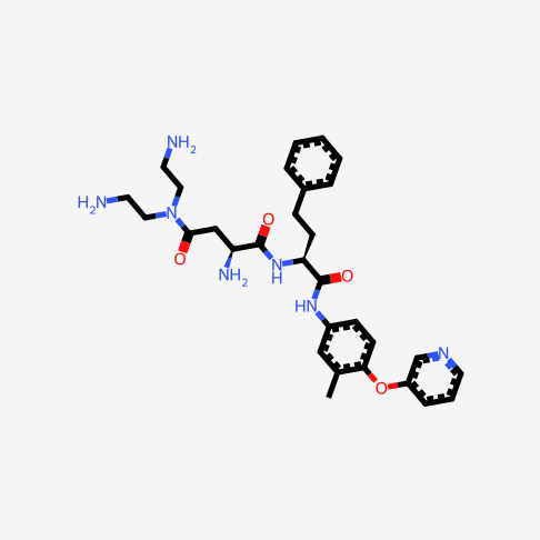 Cc1cc(NC(=O)[C@H](CCc2ccccc2)NC(=O)[C@@H](N)CC(=O)N(CCN)CCN)ccc1Oc1cccnc1